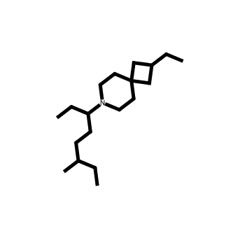 CCC(C)CCC(CC)N1CCC2(CC1)CC(CC)C2